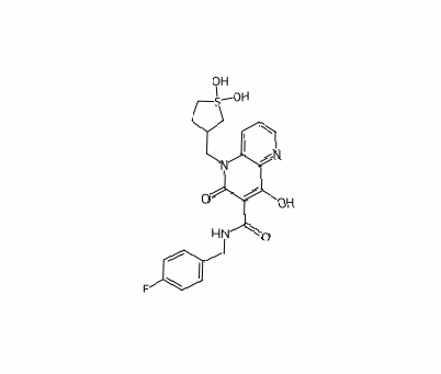 O=C(NCc1ccc(F)cc1)c1c(O)c2ncccc2n(CC2CCS(O)(O)C2)c1=O